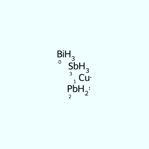 [BiH3].[Cu].[PbH2].[SbH3]